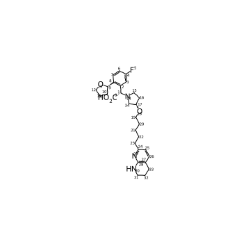 O=C(O)[C@H](c1cc(F)ccc1[C@H]1CCCO1)N1CC[C@@H](OCCCCCc2ccc3c(n2)NCCC3)C1